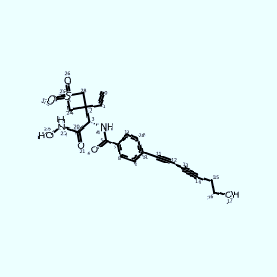 C=CC1([C@H](NC(=O)c2ccc(C#CC#CCCO)cc2)C(=O)NO)CS(=O)(=O)C1